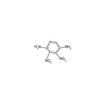 Nc1ccc(N)c([N+](=O)[O-])c1[N+](=O)[O-]